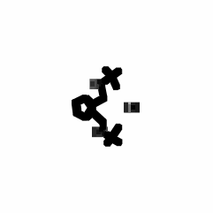 CC(C)(C)NCC1C2C=CC(C2)C1CNC(C)(C)C.[LiH]